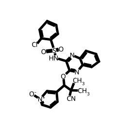 CC(C)(C#N)C(Oc1nc2ccccc2nc1NS(=O)(=O)c1ccccc1Cl)c1ccc[n+]([O-])c1